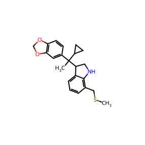 CSCc1cccc2c1NCC2C(C)(c1ccc2c(c1)OCO2)C1CC1